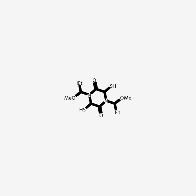 CCC(OC)N1C(=O)C(S)N(C(CC)OC)C(=O)C1S